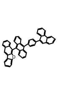 c1ccc2c(-c3c4ccccc4c(-c4ccc(-c5cc6ccccc6c6ccccc56)cc4)c4ccccc34)c3oc4ccccc4c3cc2c1